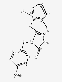 COc1ccc(Cn2c(Cc3c(F)cccc3Cl)noc2=O)cc1